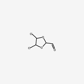 O=CC1OC(Cl)C(Cl)O1